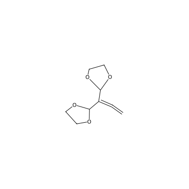 C=C=C(C1OCCO1)C1OCCO1